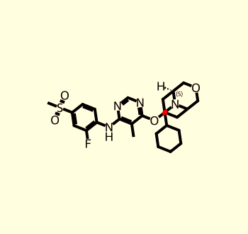 Cc1c(Nc2ccc(S(C)(=O)=O)cc2F)ncnc1OC1CC2COC[C@H](C1)N2CC1CCCCC1